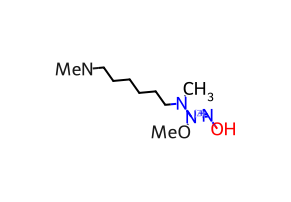 CNCCCCCCN(C)/[N+](=N/O)OC